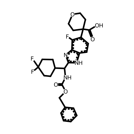 O=C(NC(c1nc2c(F)c(C3(C(=O)O)CCOCC3)ccc2[nH]1)C1CCC(F)(F)CC1)OCc1ccccc1